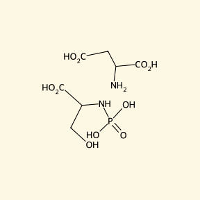 NC(CC(=O)O)C(=O)O.O=C(O)C(CO)NP(=O)(O)O